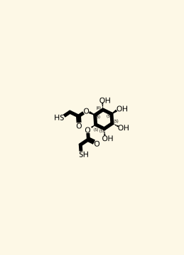 O=C(CS)O[C@H]1[C@H](O)[C@@H](O)[C@H](O)[C@H](O)[C@@H]1OC(=O)CS